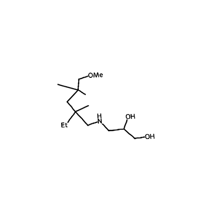 CCC(C)(CNCC(O)CO)CC(C)(C)COC